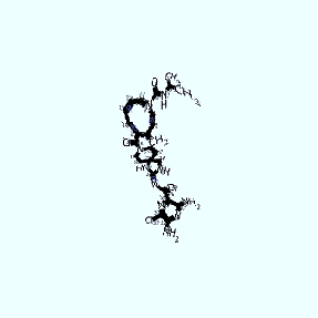 C=C1/C=C\N(C(=O)NC(C)C)C/C=C\C=C/1C(=O)N1CCC2(CC1)CN/C(=N\C(=O)c1nc(Cl)c(N)nc1N)N2